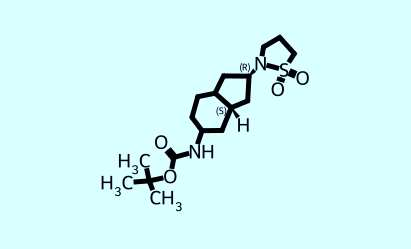 CC(C)(C)OC(=O)NC1CCC2C[C@@H](N3CCCS3(=O)=O)C[C@@H]2C1